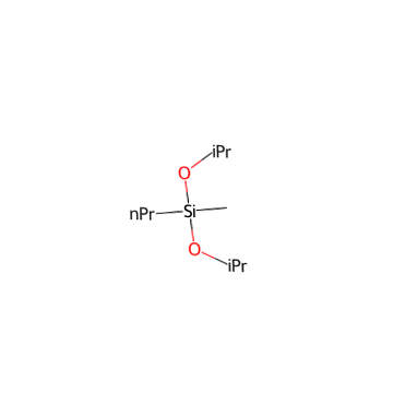 [CH2]CC[Si](C)(OC(C)C)OC(C)C